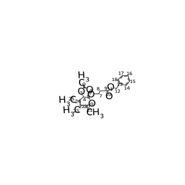 CC(=O)OC1[C@H](OCCC(=O)OCc2ccccc2)OC(C)[C@H](C)[C@@H]1C